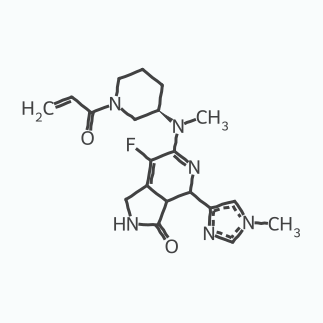 C=CC(=O)N1CCC[C@@H](N(C)C2=NC(c3cn(C)cn3)C3C(=O)NCC3=C2F)C1